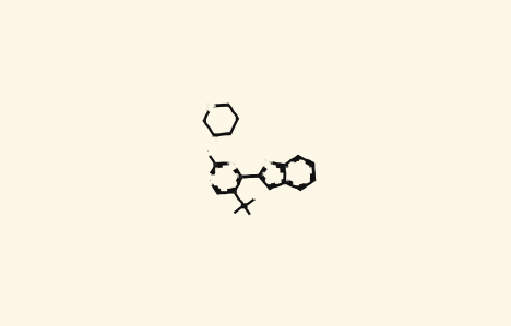 FC(F)(F)c1cnc(N[C@H]2CCCNC2)nc1-c1cc2ccccc2[nH]1